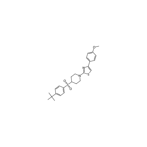 COc1ccc(-c2csc(N3CCC(S(=O)(=O)c4ccc(C(C)(C)C)cc4)CC3)n2)cc1